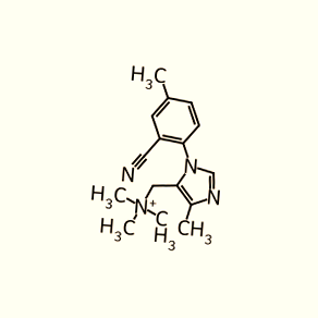 Cc1ccc(-n2cnc(C)c2C[N+](C)(C)C)c(C#N)c1